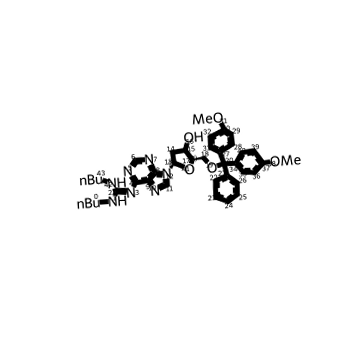 CCCCNC(=Nc1ncnc2c1ncn2[C@H]1CC(O)[C@@H](COC(c2ccccc2)(c2ccc(OC)cc2)c2ccc(OC)cc2)O1)NCCCC